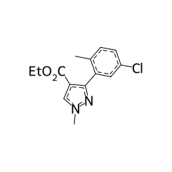 CCOC(=O)c1cn(C)nc1-c1cc(Cl)ccc1C